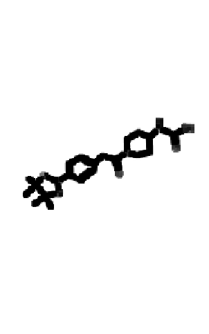 CC1(C)OB(c2ccc(CC(=O)N3CCC(NC(=O)O)CC3)cc2)OC1(C)C